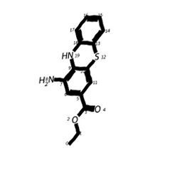 CCOC(=O)c1cc(N)c2c(c1)Sc1ccccc1N2